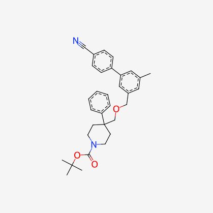 Cc1cc(COCC2(c3ccccc3)CCN(C(=O)OC(C)(C)C)CC2)cc(-c2ccc(C#N)cc2)c1